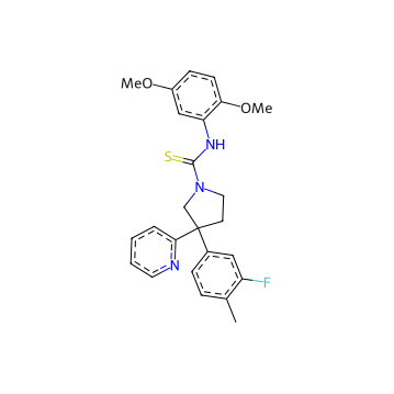 COc1ccc(OC)c(NC(=S)N2CCC(c3ccc(C)c(F)c3)(c3ccccn3)C2)c1